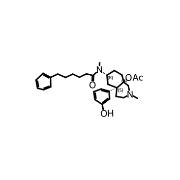 CC(=O)O[C@]12CC[C@@H](N(C)C(=O)CCCCCc3ccccc3)C[C@]1(c1cccc(O)c1)CCN(C)C2